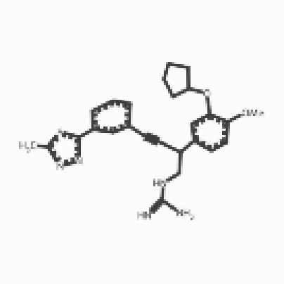 COc1ccc(C(C#Cc2cccc(-c3nnc(C)s3)c2)CNC(=N)N)cc1OC1CCCC1